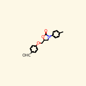 Cc1ccc(N2CC(COc3ccc(C=O)cc3)OC2=O)cc1